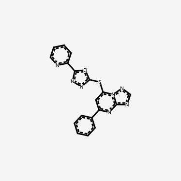 c1ccc(-c2cc(Sc3nnc(-c4ccccn4)o3)n3ncnc3n2)cc1